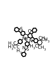 CC(C)(C)c1ccc(N2B3c4cc5nc(-c6ccccc6)sc5cc4-n4c5cc6c(cc5c5c7c(oc8ccccc87)c(c3c54)-c3cc4sc5ccccc5c4cc32)C(C)(C)CCC6(C)C)cc1